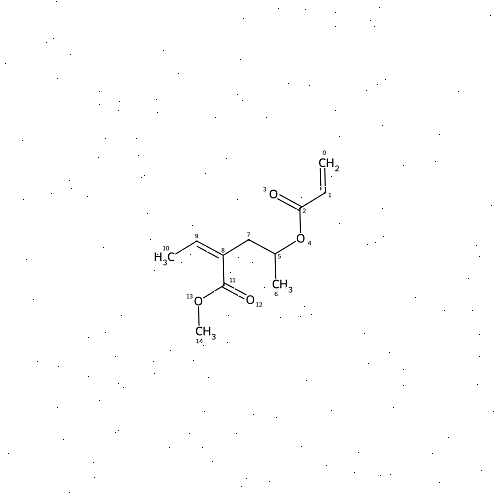 C=CC(=O)OC(C)CC(=CC)C(=O)OC